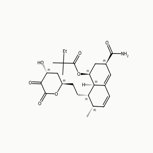 CCC(C)(C)C(=O)O[C@H]1C[C@@H](C(N)=O)C=C2C=C[C@H](C)[C@H](CC[C@@H]3C[C@@H](O)C(=O)C(=O)O3)[C@H]21